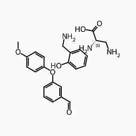 COc1ccc(Oc2cccc(C=O)c2)cc1.NC[C@H](N)C(=O)O.NCc1ccccc1O